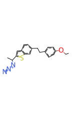 CCOc1ccc(CCc2ccc3cc(C(C)N=[N+]=[N-])sc3c2)cc1